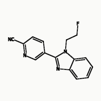 N#Cc1ccc(-c2nc3ccccc3n2CCF)cn1